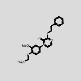 COc1cc(-n2ccnc(SCCc3ccccc3)c2=O)ccc1OCC(=O)O